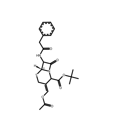 CC(=O)OC=C1CS[C@@H]2C(NC(=O)Cc3ccccc3)C(=O)N2C1C(=O)OC(C)(C)C